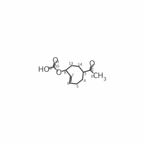 CC(=O)C1CC/C=C/C(OC(=O)O)CC1